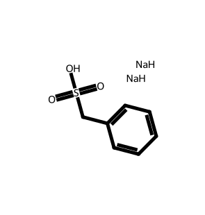 O=S(=O)(O)Cc1ccccc1.[NaH].[NaH]